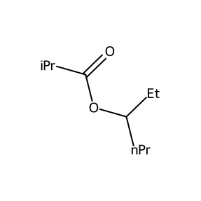 CCCC(CC)OC(=O)C(C)C